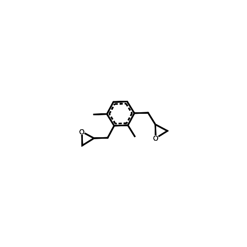 Cc1ccc(CC2CO2)c(C)c1CC1CO1